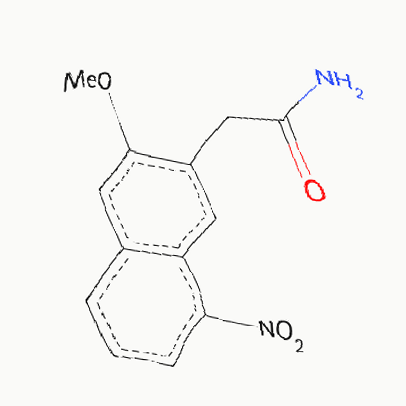 COc1cc2cccc([N+](=O)[O-])c2cc1CC(N)=O